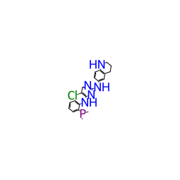 CP(C)c1ccccc1Nc1nc(Nc2ccc3c(c2)CCCN3)ncc1Cl